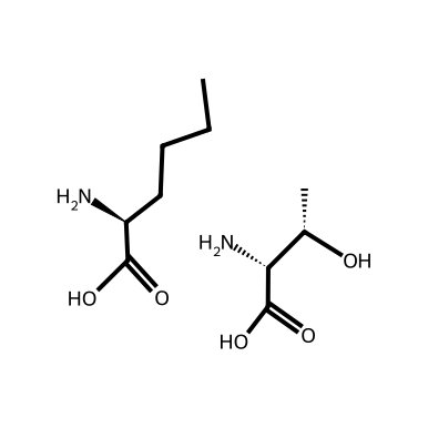 CCCC[C@H](N)C(=O)O.C[C@H](O)[C@@H](N)C(=O)O